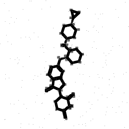 C=C1CCC(N2Cc3cc(C[C@H]4CCCC[C@@H]4N[C@H]4CC[C@@H](C5CC5)CC4)ccc3C2=O)C(=O)N1